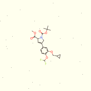 COC(=O)C1C=C(c2ccc(OC(F)F)c(OCC3CC3)c2)CN1C(=O)OC(C)(C)C